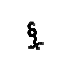 C=Cc1ccc(C[CH2][Sn]([Cl])([CH2]CCC)[CH2]CCC)cc1